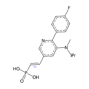 CC(C)N(C)c1cc(/C=C/P(=O)(O)O)cnc1-c1ccc(F)cc1